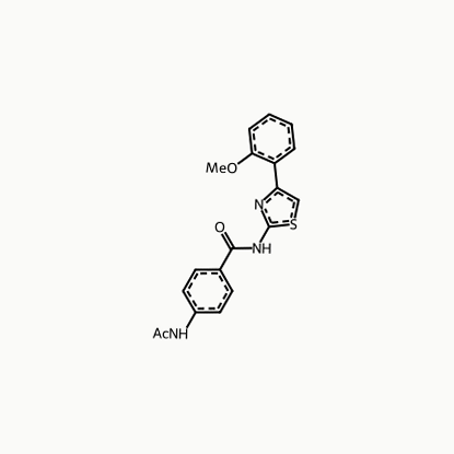 COc1ccccc1-c1csc(NC(=O)c2ccc(NC(C)=O)cc2)n1